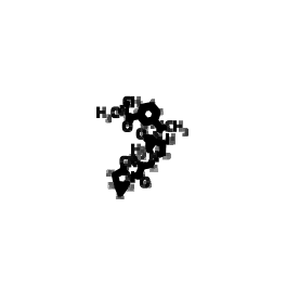 CC(c1cccc(C(=O)N(C)C)c1)N1C(=O)C2C[C@H]1CN2CC(N)C(=O)N1C(C#N)CC2CC21